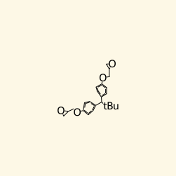 CC(C)(C)C(c1ccc(OCC2CO2)cc1)c1ccc(OCC2CO2)cc1